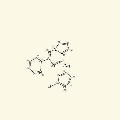 Fc1cc(Nc2nc(-c3ccccn3)nn3cccc23)ccn1